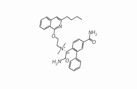 CCCCc1cc2ccccc2c(OCC[N+](C)(C)[C@@H](C(N)=O)c2ccc(C(N)=O)cc2-c2ccccc2)n1